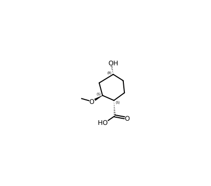 CO[C@H]1C[C@H](O)CC[C@@H]1C(=O)O